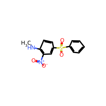 CNc1ccc(S(=O)(=O)c2ccccc2)cc1[N+](=O)[O-]